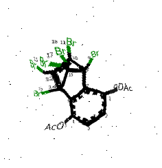 CC(=O)Oc1ccc(OC(C)=O)c2c1C1(Br)C(Br)=C(Br)C2(Br)C1(Br)Br